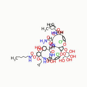 CCCCCCNC(=O)Oc1cc(O)c2c(c1)[C@@H](C(=O)CC1CC1)NC(=O)[C@H]1NC(=O)[C@H](CC(=O)[C@@H]3NC(=O)[C@H](CC(N)=O)CC(=O)[C@H](NC(=O)[C@H](CC)CC(C)C)[C@H](O)c4ccc(c(Cl)c4)Oc4cc3cc(c4O[C@@H]3O[C@H](CO)[C@@H](O)[C@H](O)[C@H]3O)Oc3ccc(cc3Cl)[C@H]1O)c1ccc(O)c-2c1